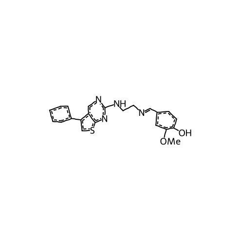 COc1cc(/C=N/CCNc2ncc3c(-c4ccccc4)csc3n2)ccc1O